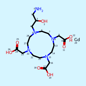 NCC(O)CN1CCN(CC(=O)O)CCN(CC(=O)O)CCN(CC(=O)O)CC1.[Gd]